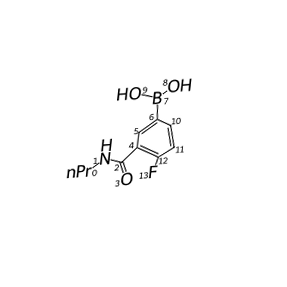 CCCNC(=O)c1cc(B(O)O)ccc1F